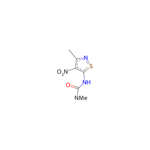 CNC(=O)Nc1snc(C)c1[N+](=O)[O-]